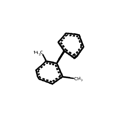 Cc1cccc(C)c1-c1[c]cc[c]c1